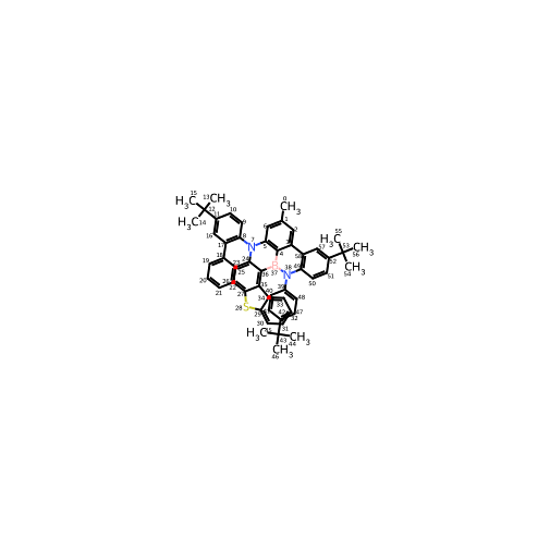 Cc1cc2c3c(c1)N(c1ccc(C(C)(C)C)cc1-c1ccccc1)c1ccc4sc5ccccc5c4c1B3N(c1ccc(C(C)(C)C)cc1)c1ccc(C(C)(C)C)cc1-2